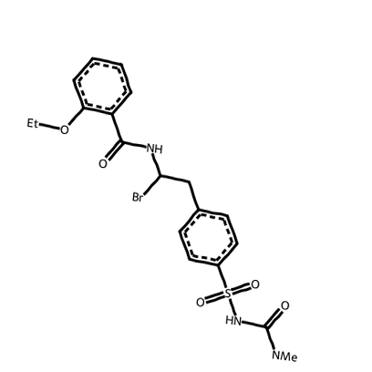 CCOc1ccccc1C(=O)NC(Br)Cc1ccc(S(=O)(=O)NC(=O)NC)cc1